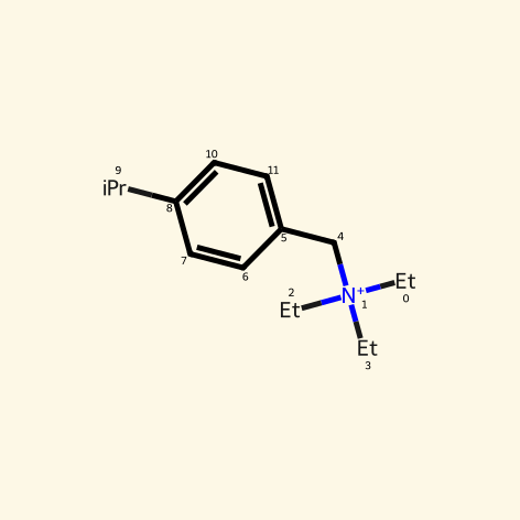 CC[N+](CC)(CC)Cc1ccc(C(C)C)cc1